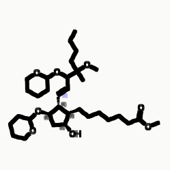 CCCCC(C)(OC)C(/C=C/[C@@H]1[C@@H](CCCCCCC(=O)OC)[C@@H](O)C[C@H]1OC1CCCCO1)OC1CCCCO1